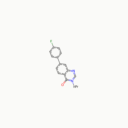 CCCn1cnc2cc(-c3ccc(F)cc3)ccc2c1=O